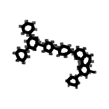 Cc1cc(-c2ccccc2)nc2c1ccc1ccc(-c3ccc(-c4ccc(-c5nc(-c6ccccc6)cc(-c6ccccc6)n5)cc4)cc3)nc12